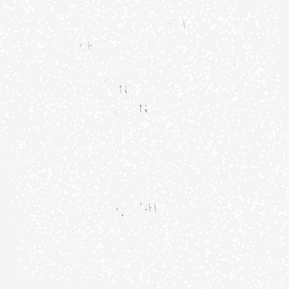 CCCCCCCN(CCCCCSc1nc(-c2ccccc2)c(-c2ccccc2)[nH]1)C(=O)NSCCC